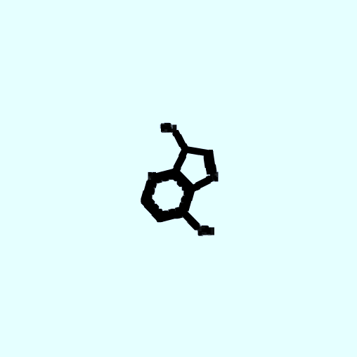 CC(C)(C)c1ccnc2c1N=CC2C(C)(C)C